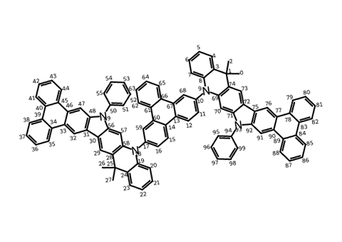 CC1(C)c2ccccc2N(c2ccc3c4ccc(N5c6ccccc6C(C)(C)c6cc7c8cc9c%10ccccc%10c%10ccccc%10c9cc8n(-c8ccccc8)c7cc65)cc4c4ccccc4c3c2)c2cc3c(cc21)c1cc2c4ccccc4c4ccccc4c2cc1n3-c1ccccc1